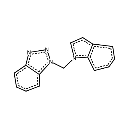 c1ccc2c(c1)ccn2Cn1nnc2ccccc21